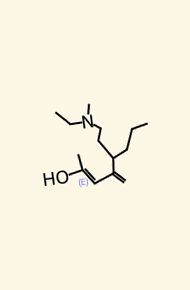 C=C(/C=C(\C)O)C(CCC)CCN(C)CC